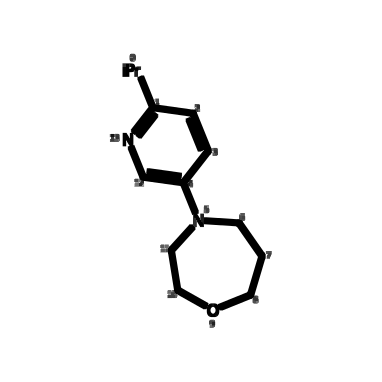 CC(C)c1ccc(N2CCCOCC2)cn1